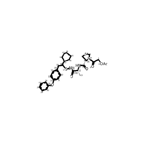 CC(=O)OCC(=O)N1CSC[C@H]1C(=O)N[C@H](C)C(=O)NSC(Cc1ccc(Oc2ccccc2)cc1)C1CCCCC1